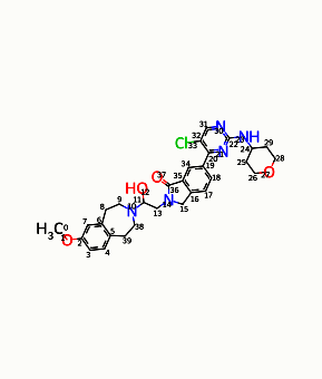 COc1ccc2c(c1)CCN(C(O)CN1Cc3ccc(-c4nc(NC5CCOCC5)ncc4Cl)cc3C1=O)CC2